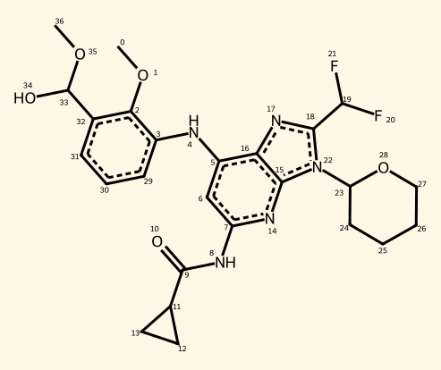 COc1c(Nc2cc(NC(=O)C3CC3)nc3c2nc(C(F)F)n3C2CCCCO2)cccc1C(O)OC